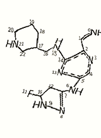 N=Cc1ncc(NC2=NNC(F)C2)nc1NCC1CCCNC1